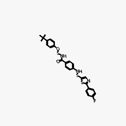 CC(C)(C)c1ccc(OSNC(=O)c2ccc(NSc3cnc(-c4ccc(F)cc4)s3)cc2)cc1